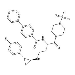 CS(=O)(=O)N1CCN(C(=O)[C@H](CCN[C@H]2C[C@@H]2c2ccc(F)cc2)NC(=O)c2ccc(-c3ccccc3)cc2)CC1